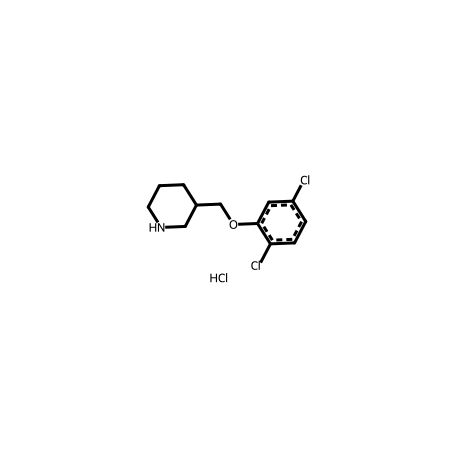 Cl.Clc1ccc(Cl)c(OCC2CCCNC2)c1